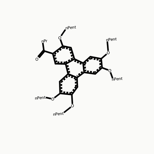 CCCCCOc1cc2c3cc(OCCCCC)c(OCCCCC)cc3c3cc(C(=O)CCC)c(OCCCCC)cc3c2cc1OCCCCC